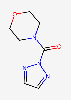 O=C(N1CCOCC1)n1nccn1